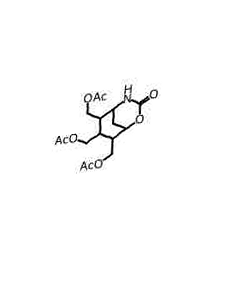 CC(=O)OCC1C2CC(OC(=O)N2)C(COC(C)=O)C1COC(C)=O